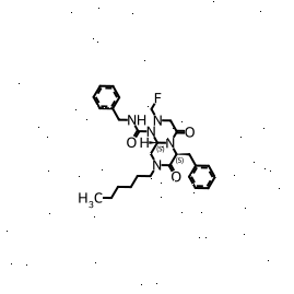 CCCCCCN1C[C@H]2N(C(=O)CN(CF)N2C(=O)NCc2ccccc2)[C@@H](Cc2ccccc2)C1=O